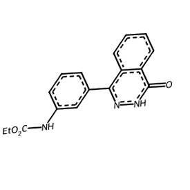 CCOC(=O)Nc1cccc(-c2n[nH]c(=O)c3ccccc23)c1